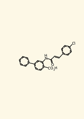 O=C(/C=C/c1ccc(Cl)cc1)Nc1cc(-c2ccccc2)ccc1C(=O)O